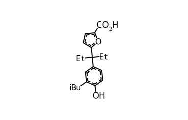 CCC(C)c1cc(C(CC)(CC)c2ccc(C(=O)O)o2)ccc1O